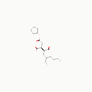 CCCCC(CC)CC(C(=O)O)=C(CC(=O)OC1CCCC1)C(=O)O